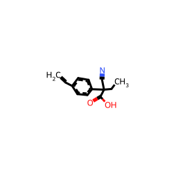 C=Cc1ccc(C(C#N)(CC)C(=O)O)cc1